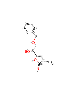 C[C@@H]1C=C([C@H](O)COCc2ccccc2)OC1=O